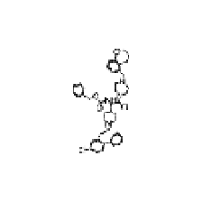 O=C(N[C@@H](C(=O)N1CCN(Cc2cccc3c2CCCO3)CC1)C1CCN(CCc2cc(Cl)ccc2-c2ccccc2)CC1)OCc1ccccc1